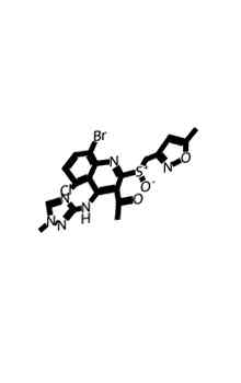 CC(=O)c1c([S+]([O-])Cc2cc(C)on2)nc2c(Br)ccc(Cl)c2c1Nc1ncn(C)n1